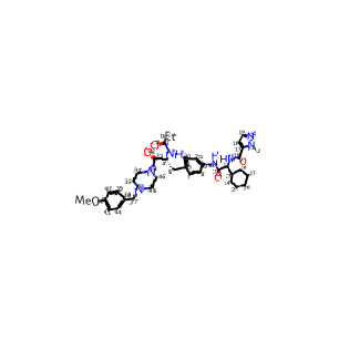 CCC(=O)N[C@H](Cc1ccc(NC(=O)[C@@H](NC(=O)c2ccnn2C)C2CCCCC2)cc1)C(=O)N1CCN(Cc2ccc(OC)cc2)CC1